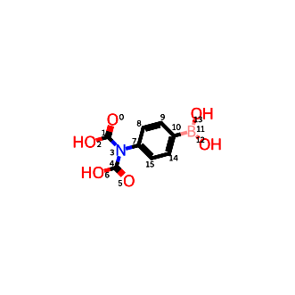 O=C(O)N(C(=O)O)c1ccc(B(O)O)cc1